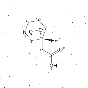 O=C(O)C[C@@H]1CN2CCC1CC2